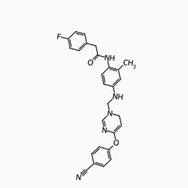 Cc1cc(NCN2C=NC(Oc3ccc(C#N)cc3)=CC2)ccc1NC(=O)Cc1ccc(F)cc1